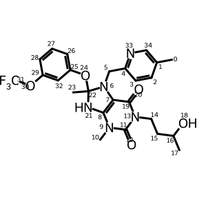 Cc1ccc(CN2c3c(n(C)c(=O)n(CCC(C)O)c3=O)NC2(C)Oc2cccc(OC(F)(F)F)c2)nc1